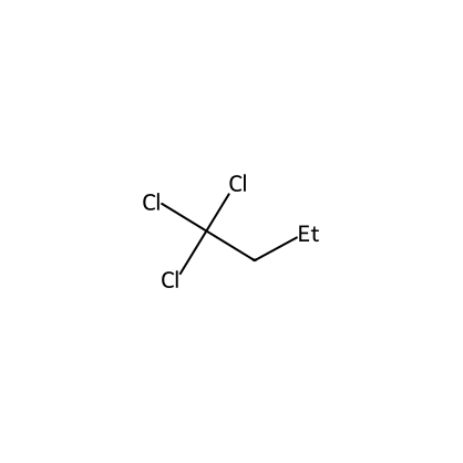 [CH2]CCC(Cl)(Cl)Cl